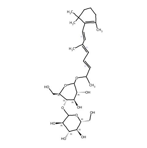 CC1=C(/C=C/C(C)=C/C=C/C(C)OC2O[C@H](CO)[C@@H](OC3O[C@H](CO)[C@@H](O)[C@H](O)[C@H]3O)[C@H](O)[C@H]2O)C(C)(C)CCC1